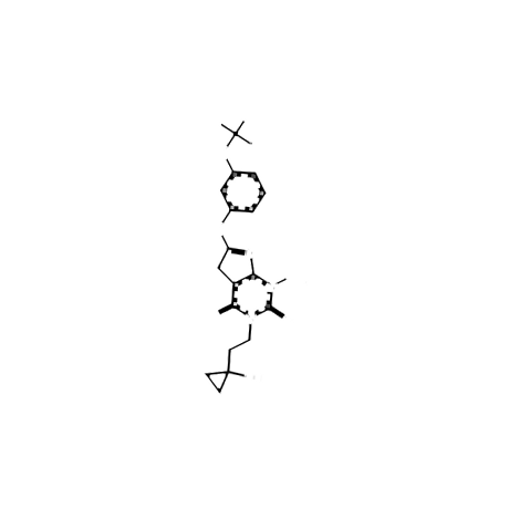 Cn1c2c(c(=O)n(CCC3(O)CC3)c1=O)CC(Oc1cccc(OC(F)(F)F)c1)=N2